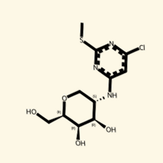 CSc1nc(Cl)cc(N[C@H]2CO[C@H](CO)[C@H](O)[C@@H]2O)n1